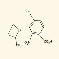 CC1CCO1.CCc1ccc(C(=O)O)c([N+](=O)[O-])c1